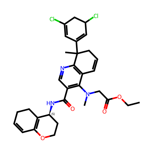 CCOC(=O)CN(C)c1c(C(=O)N[C@H]2CCOC3=C2CCC=C3)cnc2c1C=CCC2(C)C1=CC(Cl)CC(Cl)=C1